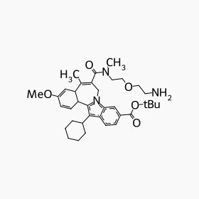 COC1=CC2C(C)=C(C(=O)N(C)CCOCCN)Cn3c(c(C4CCCCC4)c4ccc(C(=O)OC(C)(C)C)cc43)C2C=C1